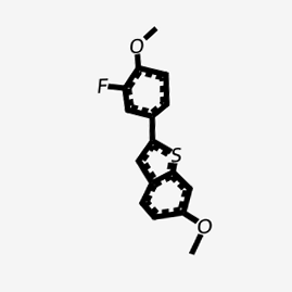 COc1ccc2cc(-c3ccc(OC)c(F)c3)sc2c1